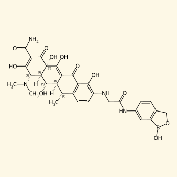 C[C@H]1c2ccc(NCC(=O)Nc3ccc4c(c3)B(O)OC4)c(O)c2C(=O)C2=C(O)[C@]3(O)C(=O)C(C(N)=O)=C(O)[C@@H](N(C)C)[C@@H]3[C@@H](O)[C@@H]21